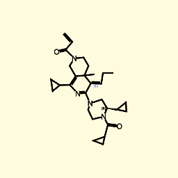 C=CC(=O)N1CCC2(C)C(=C(C3CC3)N=C(N3CCN(C(=O)C4CC4)[C@H](C4CC4)C3)/C2=C/CC)C1